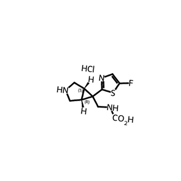 Cl.O=C(O)NCC1(c2ncc(F)s2)[C@@H]2CNC[C@@H]21